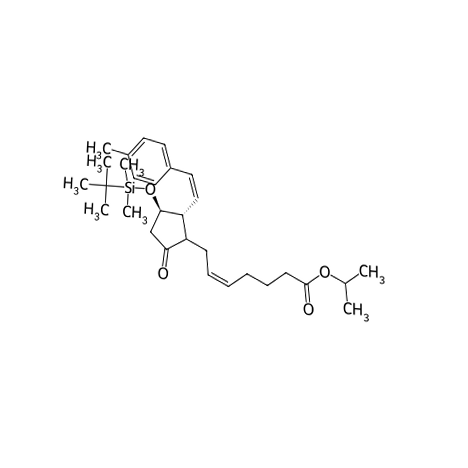 Cc1ccc(/C=C\[C@@H]2C(C/C=C\CCCC(=O)OC(C)C)C(=O)C[C@H]2O[Si](C)(C)C(C)(C)C)cc1